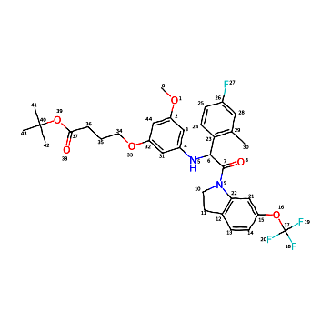 COc1cc(NC(C(=O)N2CCc3ccc(OC(F)(F)F)cc32)c2ccc(F)cc2C)cc(OCCCC(=O)OC(C)(C)C)c1